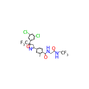 Cc1cc(C2=NO[C@](c3cc(Cl)cc(Cl)c3)(C(F)(F)F)C2)ccc1C(=O)NCC(=O)NCC(F)(F)F